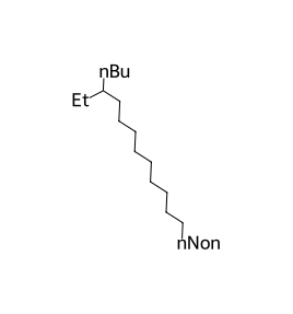 [CH2]CCCC(CC)CCCCCCCCCCCCCCCCCC